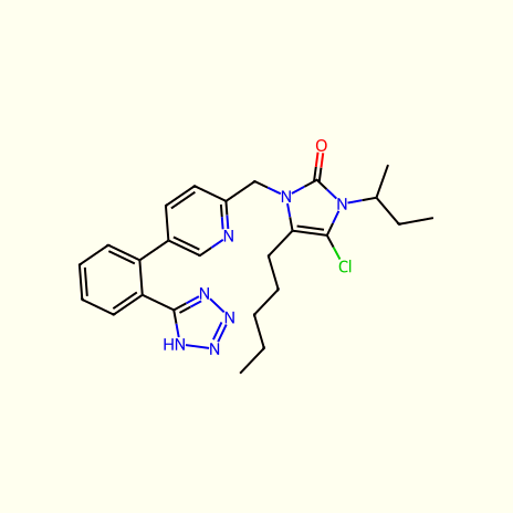 CCCCCc1c(Cl)n(C(C)CC)c(=O)n1Cc1ccc(-c2ccccc2-c2nnn[nH]2)cn1